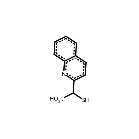 O=C(O)C(S)c1ccc2ccccc2n1